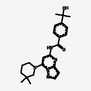 CC1(C)CCCN(c2cc(NC(=O)c3ccc(C(C)(C)O)cc3)nc3ccnn23)C1